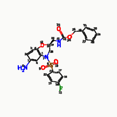 Nc1ccc2c(c1)N(S(=O)(=O)c1ccc(F)cc1)C[C@H](CNC(=O)OCc1ccccc1)O2